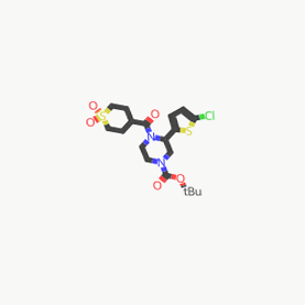 CC(C)(C)OC(=O)N1CCN(C(=O)C2CCS(=O)(=O)CC2)C(c2ccc(Cl)s2)C1